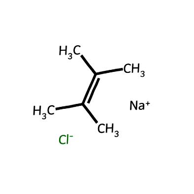 CC(C)=C(C)C.[Cl-].[Na+]